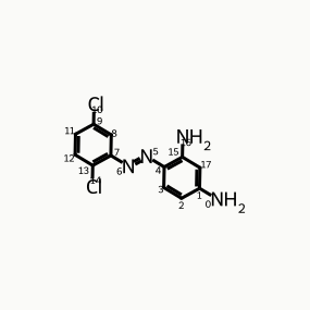 Nc1ccc(N=Nc2cc(Cl)ccc2Cl)c(N)c1